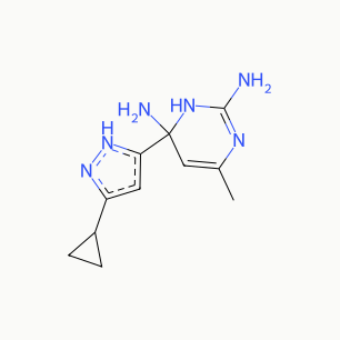 CC1=CC(N)(c2cc(C3CC3)n[nH]2)NC(N)=N1